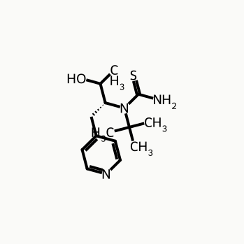 CC(O)[C@@H](Cc1ccncc1)N(C(N)=S)C(C)(C)C